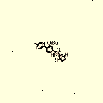 Cc1cnc(-c2ccc(C(=O)N[C@@H]3C[C@@H]4CC[C@H]3N4C#N)cc2OCC(C)C)cn1